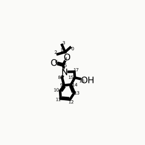 CC(C)(C)OC(=O)N1Cc2ccccc2C(O)C1